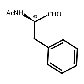 CC(=O)N[C@@H]([C]=O)Cc1ccccc1